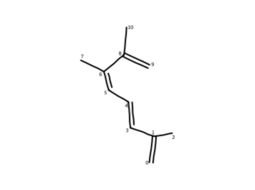 C=C(C)C=CC=C(C)C(=C)C